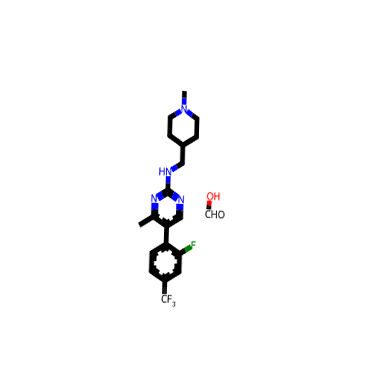 Cc1nc(NCC2CCN(C)CC2)ncc1-c1ccc(C(F)(F)F)cc1F.O=CO